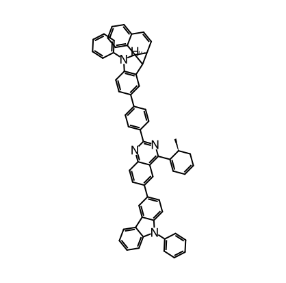 C[C@H]1CC=CC=C1c1nc(-c2ccc(-c3ccc4c(c3)C3[C@@H]5C=Cc6ccccc6C35N4c3ccccc3)cc2)nc2ccc(-c3ccc4c(c3)c3ccccc3n4-c3ccccc3)cc12